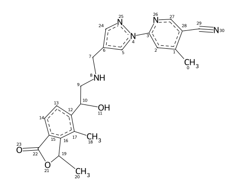 Cc1cc(-n2cc(CNCC(O)c3ccc4c(c3C)C(C)OC4=O)cn2)ncc1C#N